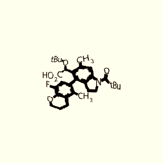 Cc1cc2c(c(-c3cc(F)c4c(c3C)CCCO4)c1[C@H](OC(C)(C)C)C(=O)O)CCN2C(=O)C(C)(C)C